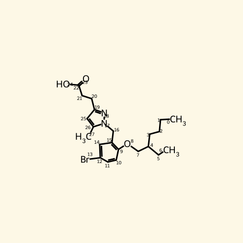 CCCCC(CC)COc1ccc(Br)cc1Cn1nc(CCC(=O)O)cc1C